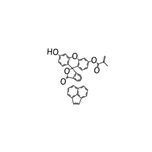 C1=Cc2cccc3cccc1c23.C=C(C)C(=O)Oc1ccc2c(c1)Oc1cc(O)ccc1C21OC(=O)c2ccccc21